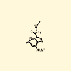 CNc1cc(C)nn2c(C(=O)NC3CC3F)cnc12